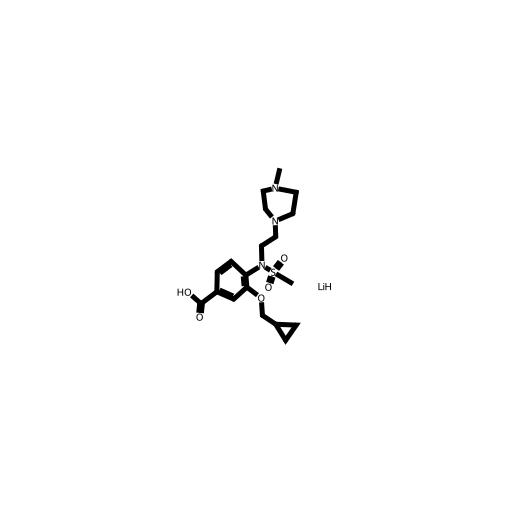 CN1CCN(CCN(c2ccc(C(=O)O)cc2OCC2CC2)S(C)(=O)=O)CC1.[LiH]